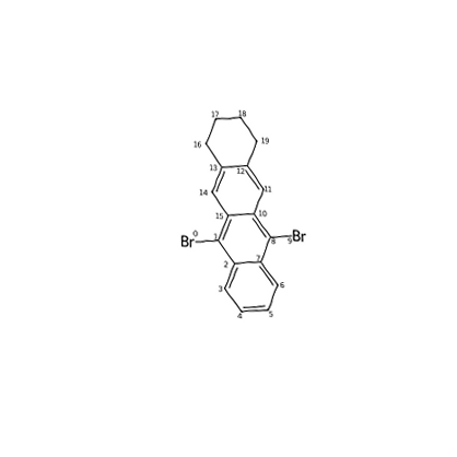 Brc1c2ccccc2c(Br)c2cc3c(cc12)CCCC3